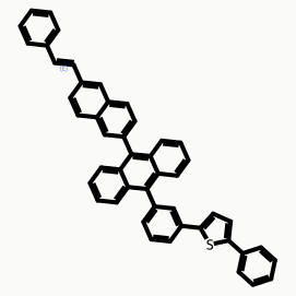 C(=C\c1ccc2cc(-c3c4ccccc4c(-c4cccc(-c5ccc(-c6ccccc6)s5)c4)c4ccccc34)ccc2c1)/c1ccccc1